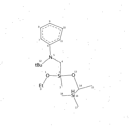 CCO[Si](C)(CN(c1ccccc1)C(C)(C)C)OC(C)[SiH](C)C